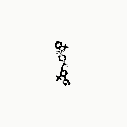 CC(C)(C)c1cc(CC(=O)N2CCN(S(=O)(=O)c3ccccc3C(C)(C)C)CC2)ccc1-c1c[nH]cn1